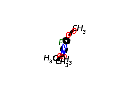 COCCOc1ccc(N2CCN(C(=O)OC(C)(C)C)CC2)c(F)c1